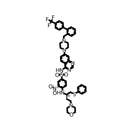 O=[N+]([O-])c1cc(S(=O)(=O)Nc2ncnc3cc(N4CCN(Cc5ccccc5-c5ccc(C(F)(F)F)cc5)CC4)ccc23)ccc1N[C@H](CCN1CCOCC1)CSc1ccccc1